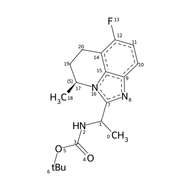 CC(NC(=O)OC(C)(C)C)c1nc2ccc(F)c3c2n1[C@@H](C)CC3